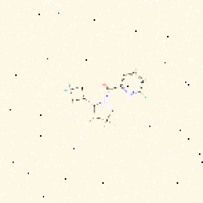 O=C(c1cccc(Cl)n1)N1CC(F)(F)C(O)C1C1CC(F)(F)C1